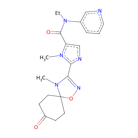 CCN(C(=O)c1cnc(C2=NOC3(CCC(=O)CC3)N2C)n1C)c1cccnc1